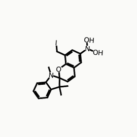 CN1c2ccccc2C(C)(C)C12C=Cc1cc(N(O)O)cc(CI)c1O2